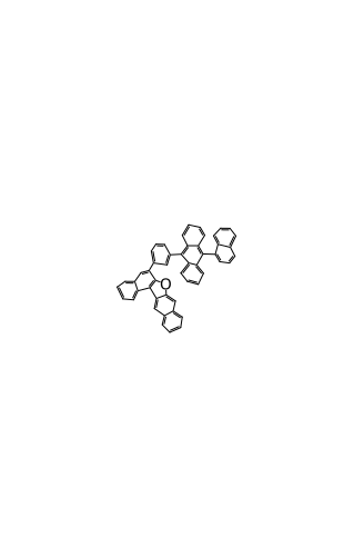 c1cc(-c2c3ccccc3c(-c3cccc4ccccc34)c3ccccc23)cc(-c2cc3ccccc3c3c2oc2cc4ccccc4cc23)c1